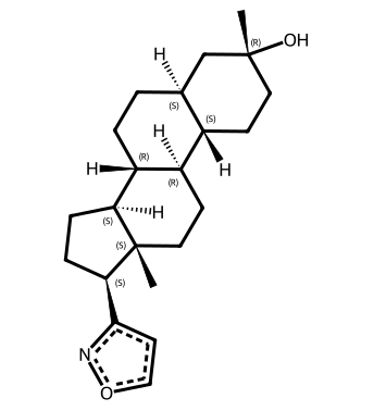 C[C@@]1(O)CC[C@H]2[C@@H](CC[C@@H]3[C@@H]2CC[C@]2(C)[C@@H](c4ccon4)CC[C@@H]32)C1